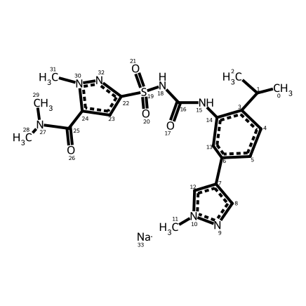 CC(C)c1ccc(-c2cnn(C)c2)cc1NC(=O)NS(=O)(=O)c1cc(C(=O)N(C)C)n(C)n1.[Na]